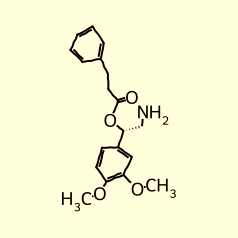 COc1ccc([C@@H](CN)OC(=O)CCc2ccccc2)cc1OC